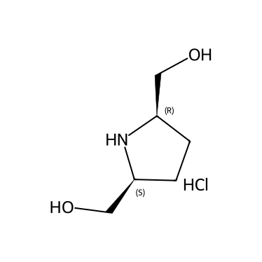 Cl.OC[C@@H]1CC[C@H](CO)N1